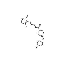 O=C(C=CC=Cc1c(F)cccc1F)N1CCN(Cc2ccc(F)cc2)CC1